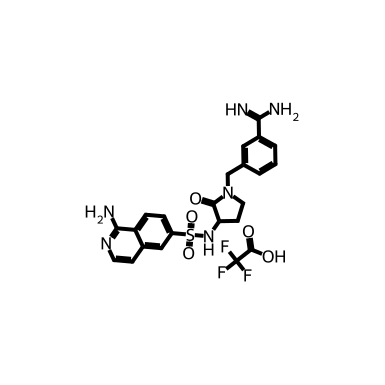 N=C(N)c1cccc(CN2CCC(NS(=O)(=O)c3ccc4c(N)nccc4c3)C2=O)c1.O=C(O)C(F)(F)F